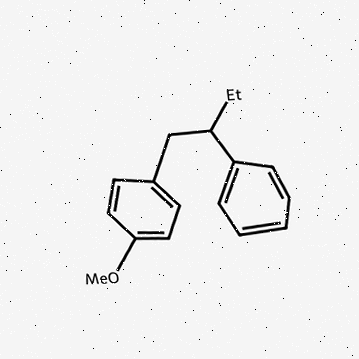 [CH2]CC(Cc1ccc(OC)cc1)c1ccccc1